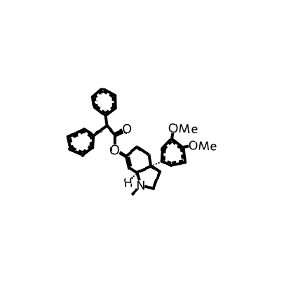 COc1ccc([C@@]23CCC(OC(=O)C(c4ccccc4)c4ccccc4)=C[C@@H]2N(C)CC3)cc1OC